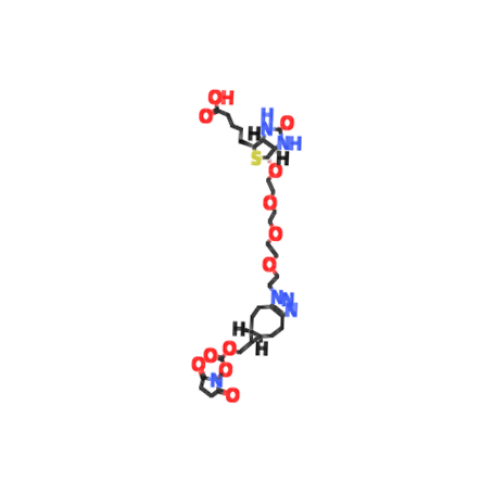 O=C(O)CCCC[C@@H]1S[C@@H](OCCOCCOCCOCCn2nnc3c2CC[C@H]2C(COC(=O)ON4C(=O)CCC4=O)[C@H]2CC3)[C@@H]2NC(=O)N[C@@H]21